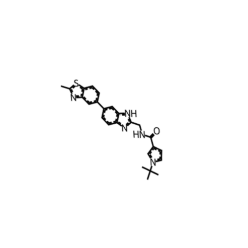 Cc1nc2cc(-c3ccc4nc(CNC(=O)c5ccn(C(C)(C)C)c5)[nH]c4c3)ccc2s1